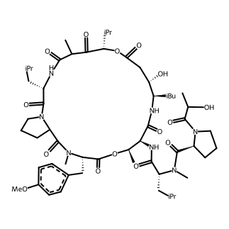 CCC(C)[C@H]1NC(=O)[C@@H](NC(=O)[C@@H](CC(C)C)N(C)C(=O)[C@@H]2CCCN2C(=O)C(C)O)[C@@H](C)OC(=O)[C@H](Cc2ccc(OC)cc2)N(C)C(=O)C2CCCN2C(=O)[C@H](CC(C)C)NC(=O)C(C)C(=O)[C@H](C(C)C)OC(=O)C[C@@H]1O